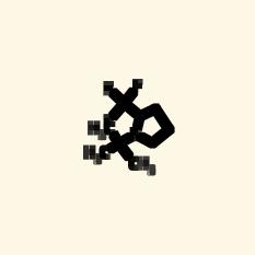 CC(C)(C)N1CCCC1C(F)(F)F